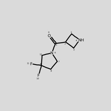 O=C(C1CNC1)N1CCC(F)(F)C1